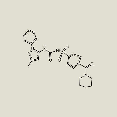 Cc1cc(NC(=O)NS(=O)(=O)c2ccc(C(=O)N3CCCCC3)cc2)n(-c2ccccc2)n1